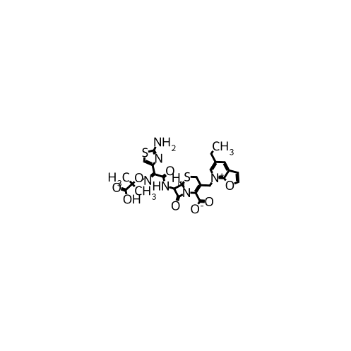 CCc1cc2ccoc2[n+](CC2=C(C(=O)[O-])N3C(=O)C(NC(=O)C(=NOC(C)(C)C(=O)O)c4csc(N)n4)[C@@H]3SC2)c1